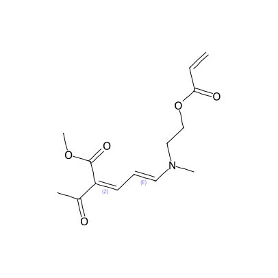 C=CC(=O)OCCN(C)/C=C/C=C(/C(C)=O)C(=O)OC